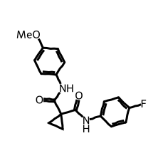 COc1ccc(NC(=O)C2(C(=O)Nc3ccc(F)cc3)CC2)cc1